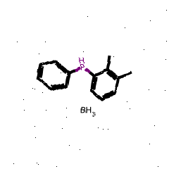 B.Cc1cccc(Pc2ccccc2)c1C